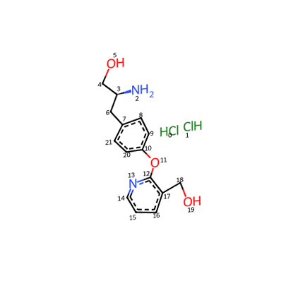 Cl.Cl.N[C@H](CO)Cc1ccc(Oc2ncccc2CO)cc1